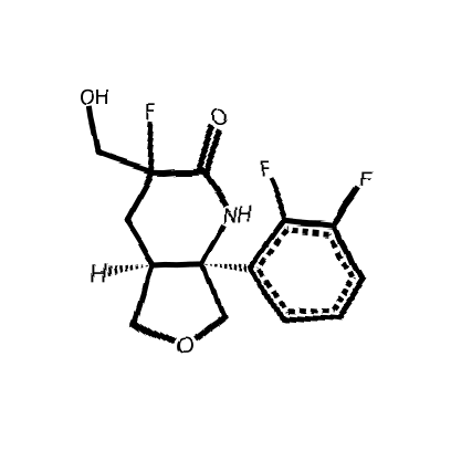 O=C1N[C@@]2(c3cccc(F)c3F)COC[C@H]2CC1(F)CO